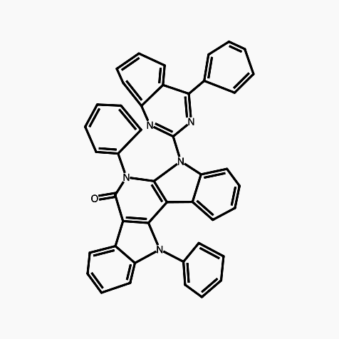 O=c1c2c3ccccc3n(-c3ccccc3)c2c2c3ccccc3n(-c3nc(-c4ccccc4)c4ccccc4n3)c2n1-c1ccccc1